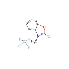 C[n+]1c(Cl)oc2ccccc21.F[B-](F)(F)F